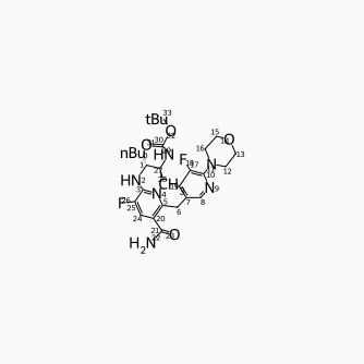 CCCC[C@@H](Nc1nc(Cc2cnc(N3CCOCC3)c(F)c2)c(C(N)=O)cc1F)[C@H](C)NC(=O)OC(C)(C)C